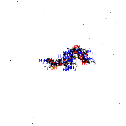 CC[C@H](C)[C@H](NC(=O)[C@H](CC(N)=O)NC(=O)[C@@H](NC(=O)[C@@H](N)[C@@H](C)O)[C@@H](C)O)C(=O)N[C@H](C(=O)N[C@H](C(=O)N[C@@H](CCCNC(=N)N)C(=O)N[C@@H](CS)C(=O)N[C@@H](CC(C)C)C(=O)N[C@@H](CC(N)=O)C(=O)N[C@@H](CCCNC(=N)N)C(=O)N[C@H](C(=O)N[C@@H](CS)C(=O)N[C@H](C(=O)N[C@@H](CC(N)=O)C(=O)O)[C@@H](C)O)C(C)C)[C@@H](C)O)C(C)C